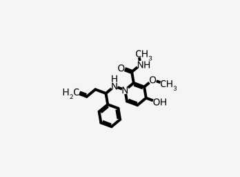 C=CCC(NN1C=CC(O)C(OC)=C1C(=O)NC)c1ccccc1